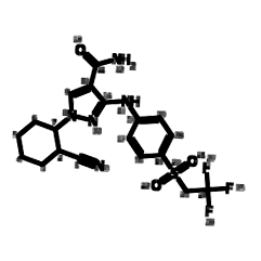 N#CC1CCCCC1n1cc(C(N)=O)c(Nc2ccc(S(=O)(=O)CC(F)(F)F)cc2)n1